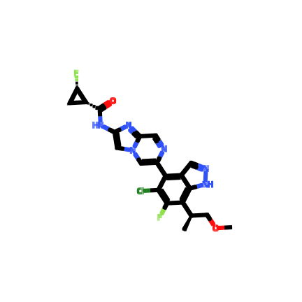 COC[C@@H](C)c1c(F)c(Cl)c(-c2cn3cc(NC(=O)[C@@H]4C[C@@H]4F)nc3cn2)c2cn[nH]c12